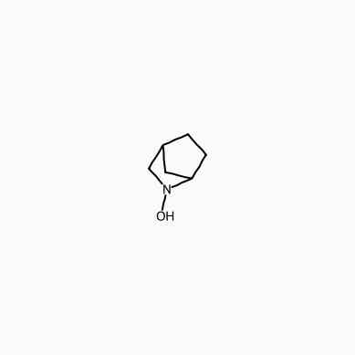 ON1CC2CCC1C2